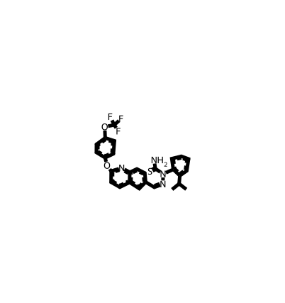 CC(C)c1ccccc1N(/N=C\c1ccc2nc(Oc3ccc(OC(F)(F)F)cc3)ccc2c1)C(N)=S